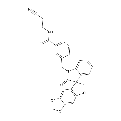 N#CCCNC(=O)c1cccc(CN2C(=O)C3(COc4cc5c(cc43)OCO5)c3ccccc32)c1